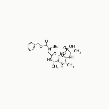 C[C@H](NC(=O)CN(C(=O)OCc1ccccc1)C(C)(C)C)C(=O)N[C@@H](C)C(=O)N[C@@H](C)P(=O)(O)O